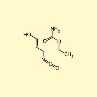 CCOC(N)=O.O=C=NCC=CO